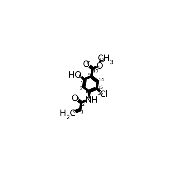 C=CC(=O)Nc1cc(O)c(C(=O)OC)cc1Cl